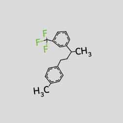 Cc1ccc(CCC(C)c2cccc(C(F)(F)F)c2)cc1